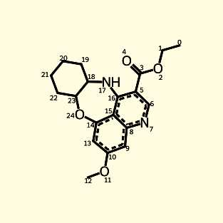 CCOC(=O)c1cnc2cc(OC)cc3c2c1NC1CCCCC1O3